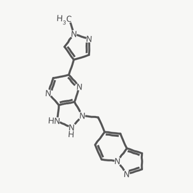 Cn1cc(-c2cnc3c(n2)N(Cc2ccn4nccc4c2)NN3)cn1